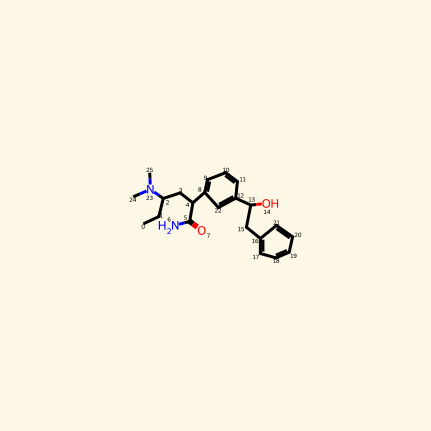 CCC(CC(C(N)=O)c1cccc(C(O)Cc2ccccc2)c1)N(C)C